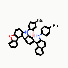 CC(C)(C)c1ccc(Nc2ccc3ccccc3c2-c2ccc3c4c5c(ccc4n4c3c2Bc2cc(C(C)(C)C)ccc2-4)oc2ccccc25)cc1